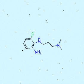 CN(C)CCCNc1c(N)cccc1Cl